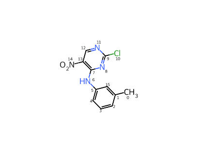 Cc1cccc(Nc2nc(Cl)ncc2[N+](=O)[O-])c1